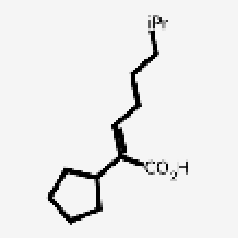 CC(C)CCCC=C(C(=O)O)C1CCCC1